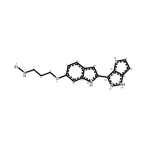 CCNCCCOc1ccc2cc(-c3n[nH]c4ccsc34)[nH]c2c1